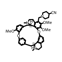 COc1ccc2cc1Oc1ccc(cc1)C[C@H]1c3cc(ccc3CCN1C)Oc1c(OC)c(OC)c(CN3CCC(C#N)CC3)c3c1[C@H](C2)N(C)CC3